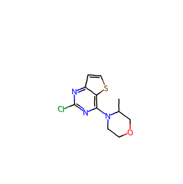 CC1COCCN1c1nc(Cl)nc2ccsc12